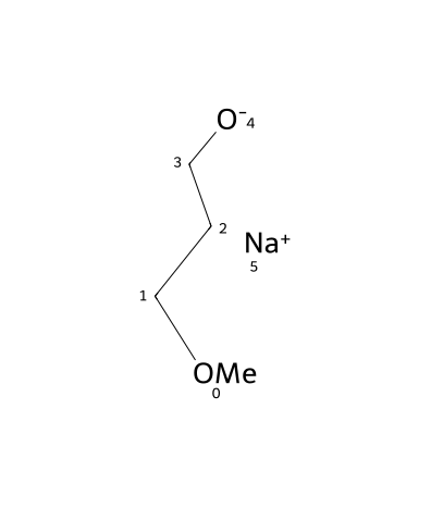 COCCC[O-].[Na+]